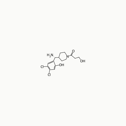 N[C@@H](c1cc(Cl)c(Cl)cc1O)C1CCN(C(=O)CCO)CC1